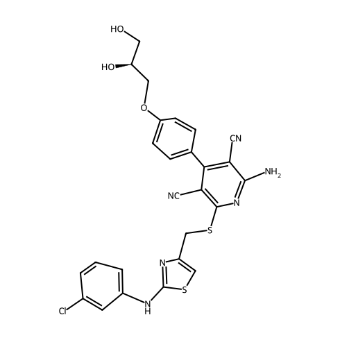 N#Cc1c(N)nc(SCc2csc(Nc3cccc(Cl)c3)n2)c(C#N)c1-c1ccc(OC[C@@H](O)CO)cc1